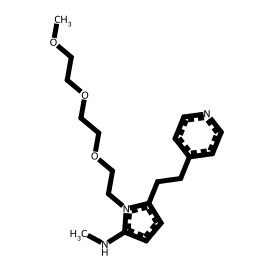 CNc1ccc(CCc2ccncc2)n1CCOCCOCCOC